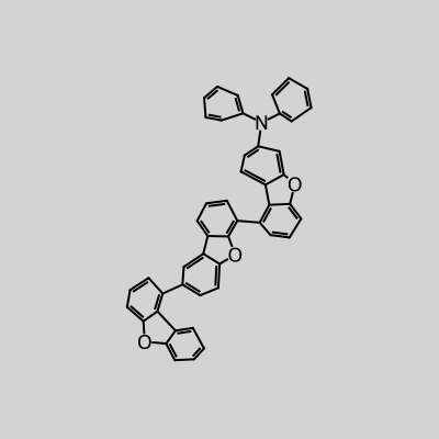 c1ccc(N(c2ccccc2)c2ccc3c(c2)oc2cccc(-c4cccc5c4oc4ccc(-c6cccc7oc8ccccc8c67)cc45)c23)cc1